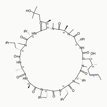 C/C=C/C[C@@H](C)[C@@H](O)[C@H]1C(=O)N[C@@H](CCC)C(=O)N(C)[C@H](C)C(=O)N(C)[C@@H]([C@H](C)CCC(C)(C)O)C(=O)N[C@@H](C(C)C)C(=O)N(C)[C@@H](CCC(C)C)C(=O)N[C@@H](C)C(=O)N[C@H](C)C(=O)N(C)[C@@H](CC(C)C)C(=O)N(C)[C@@H](CC(C)C)C(=O)N(C)[C@@H](C(C)C)C(=O)N1C